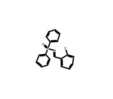 O=P(N=Cc1ccccc1F)(c1ccccc1)c1ccccc1